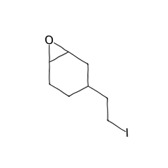 ICCC1CCC2OC2C1